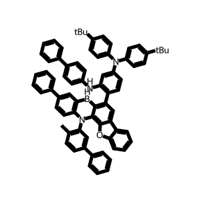 Cc1ccc(-c2ccccc2)cc1N1c2ccc(-c3ccccc3)cc2Bc2c(-c3ccc(N(c4ccc(C(C)(C)C)cc4)c4ccc(C(C)(C)C)cc4)cc3Nc3ccc(-c4ccccc4)cc3)cc3c(oc4ccccc43)c21